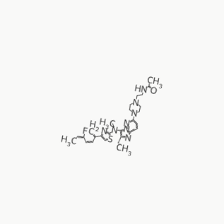 C=C(/C=C\C(F)=C/C)c1csc(N(C)c2c(CC)nc3ccc(N4CCN(CCNC(C)=O)CC4)nn23)n1